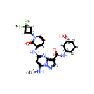 CCCCNc1cc(Nc2cccn(C3CC(F)(F)C3)c2=O)nc2c(C(=O)N[C@@H]3CCC[C@@H](O)C3)cnn12